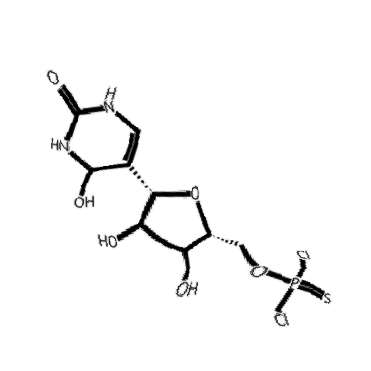 O=C1NC=C([C@@H]2O[C@H](COP(=S)(Cl)Cl)C(O)C2O)C(O)N1